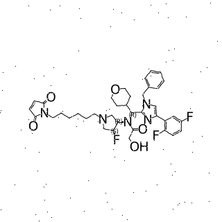 O=C1C=CC(=O)N1CCCCCCN1C[C@@H](N(C(=O)CO)[C@@H](c2nc(-c3cc(F)ccc3F)cn2Cc2ccccc2)C2CCOCC2)[C@@H](F)C1